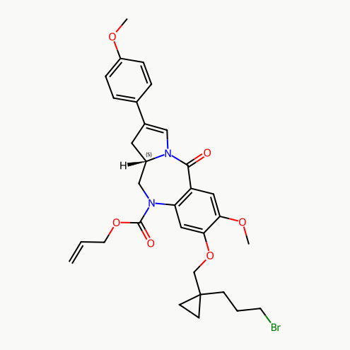 C=CCOC(=O)N1C[C@@H]2CC(c3ccc(OC)cc3)=CN2C(=O)c2cc(OC)c(OCC3(CCCBr)CC3)cc21